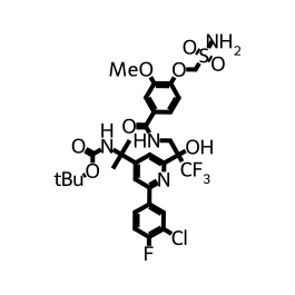 COc1cc(C(=O)NCC(O)(c2cc(C(C)(C)NC(=O)OC(C)(C)C)cc(-c3ccc(F)c(Cl)c3)n2)C(F)(F)F)ccc1OCS(N)(=O)=O